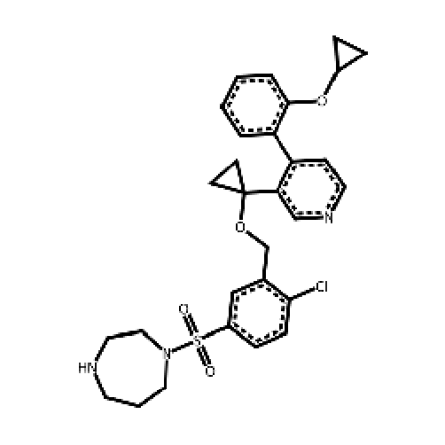 O=S(=O)(c1ccc(Cl)c(COC2(c3cnccc3-c3ccccc3OC3CC3)CC2)c1)N1CCCNCC1